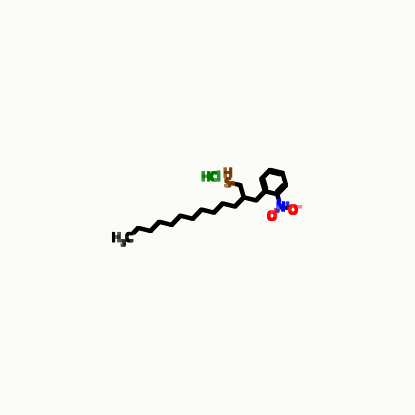 CCCCCCCCCCCC(CS)Cc1ccccc1[N+](=O)[O-].Cl